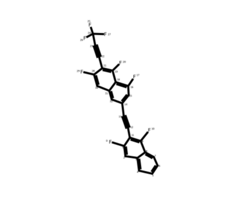 Fc1cc2ccccc2c(F)c1C#Cc1cc(F)c2c(F)c(C#CC(F)(F)F)c(F)cc2c1